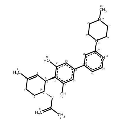 C=C(C)C[C@@H]1CCC(C)=C[C@H]1c1c(O)cc(-c2ccnc(N3CCN(C)CC3)c2)cc1O